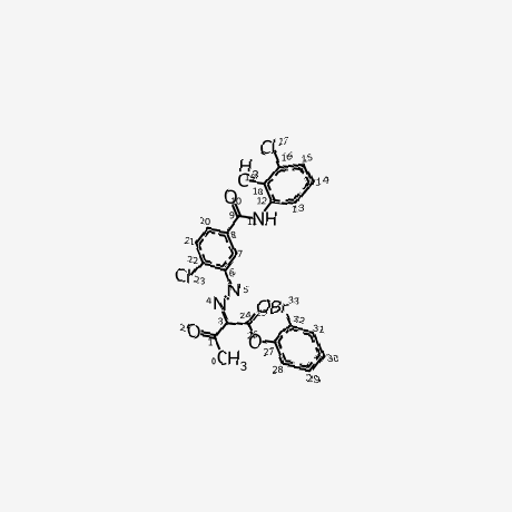 CC(=O)C(N=Nc1cc(C(=O)Nc2cccc(Cl)c2C)ccc1Cl)C(=O)Oc1ccccc1Br